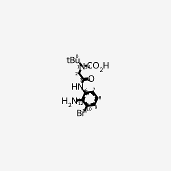 CC(C)(C)N(CC(=O)Nc1cccc(Br)c1N)C(=O)O